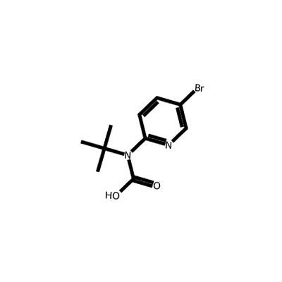 CC(C)(C)N(C(=O)O)c1ccc(Br)cn1